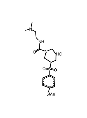 CSc1ccc(S(=O)(=O)C2CCCN(C(=O)NCCN(C)C)C2)cc1.Cl